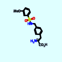 COc1cccc(S(=O)(=O)NCc2ccc(C[C@H](N)C(=O)O)cc2)c1